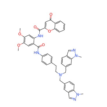 COc1cc(NC(=O)c2cc(=O)c3ccccc3o2)c(C(=O)Nc2ccc(CCN(Cc3ccc4c(cnn4C)c3)Cc3ccc4cnn(C)c4c3)cc2)cc1OC